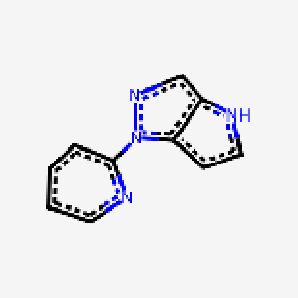 c1ccc(-n2ncc3[nH]ccc32)nc1